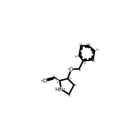 O=C[C@@H]1NCCC1OCc1ccccc1